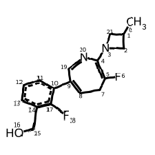 CC1CN(C2=C(F)CC=C(c3cccc(CO)c3F)C=N2)C1